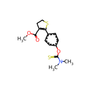 COC(=O)C1=C(c2ccc(OC(=S)N(C)C)cc2)SCC1